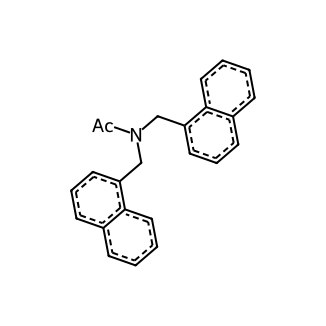 CC(=O)N(Cc1cccc2ccccc12)Cc1cccc2ccccc12